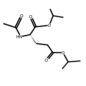 CC(=O)N[C@@H](CCC(=O)OC(C)C)C(=O)OC(C)C